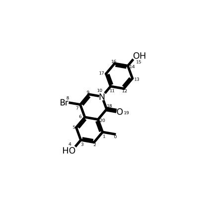 Cc1cc(O)cc2c(Br)cn(-c3ccc(O)cc3)c(=O)c12